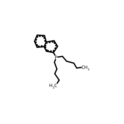 CCCCCP(CCCCC)c1ccc2ccccc2c1